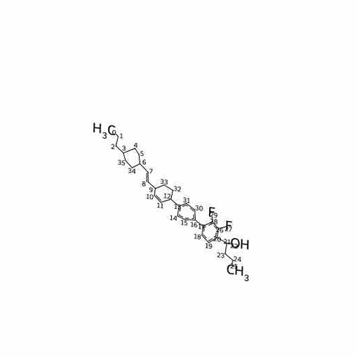 CCCC1CCC(/C=C/C2C=CC(c3ccc(-c4ccc(C(O)CCC)c(F)c4F)cc3)CC2)CC1